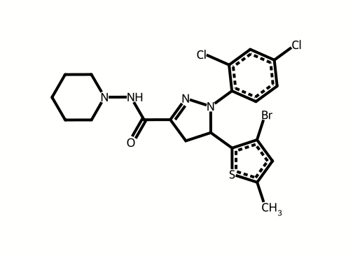 Cc1cc(Br)c(C2CC(C(=O)NN3CCCCC3)=NN2c2ccc(Cl)cc2Cl)s1